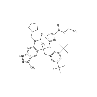 CCOC(=O)c1coc(NC(C)(Cc2cc(C(F)(F)F)cc(C(F)(F)F)c2)c2cc3c(C)n[nH]c3nc2N(CC)CC2CCCC2)n1